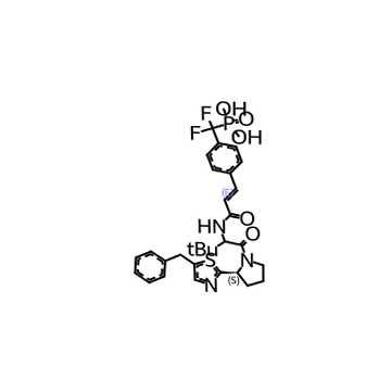 CC(C)(C)C(NC(=O)/C=C/c1ccc(C(F)(F)P(=O)(O)O)cc1)C(=O)N1CCC[C@H]1c1ncc(Cc2ccccc2)s1